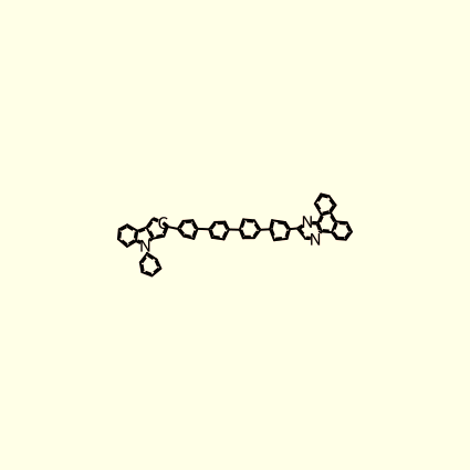 c1ccc(-n2c3ccccc3c3ccc(-c4ccc(-c5ccc(-c6ccc(-c7ccc(-c8cnc9c%10ccccc%10c%10ccccc%10c9n8)cc7)cc6)cc5)cc4)cc32)cc1